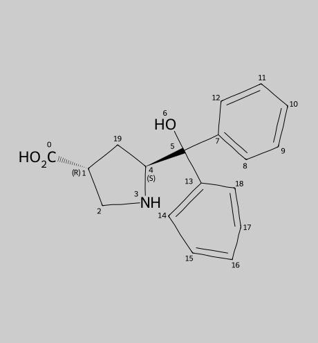 O=C(O)[C@H]1CN[C@H](C(O)(c2ccccc2)c2ccccc2)C1